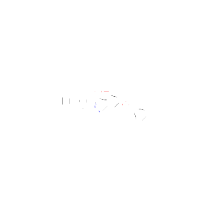 CCOC(=O)c1ncc2cc(OCc3ccccc3)ccc2c1O